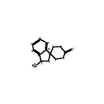 CN1CC2(CCC(=O)CC2)c2ccccc21